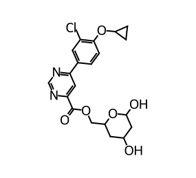 O=C(OCC1CC(O)CC(O)O1)c1cc(-c2ccc(OC3CC3)c(Cl)c2)ncn1